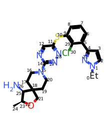 CCn1ccc(-c2cccc(Sc3cnc(N4CCC5(CC4)CO[C@@H](C)[C@H]5N)nn3)c2Cl)n1